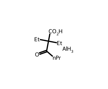 CCCC(=O)C(CC)(CC)C(=O)O.[AlH3]